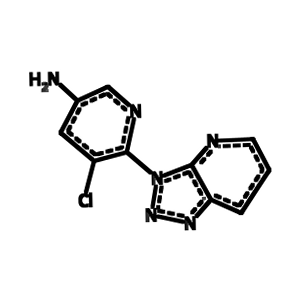 Nc1cnc(-n2nnc3cccnc32)c(Cl)c1